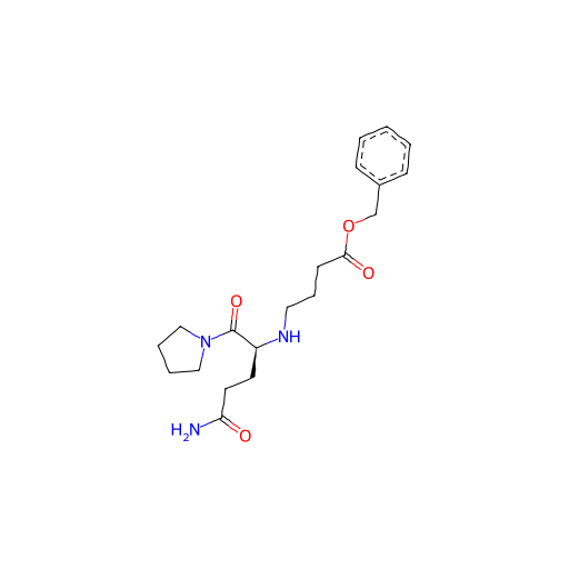 NC(=O)CC[C@H](NCCCC(=O)OCc1ccccc1)C(=O)N1CCCC1